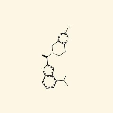 CC(O)c1cccc2[nH]c(C(=O)N3CCc4nc(N)sc4C3)cc12